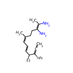 C=C=C(CCC)C(/C=C/C=C(/C)CC/C(N)=C(\C)N)CC